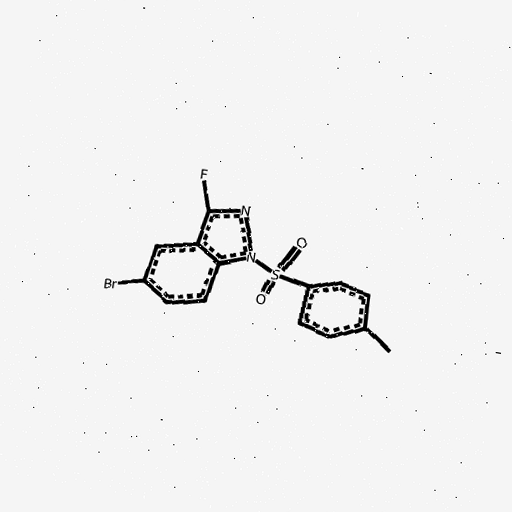 Cc1ccc(S(=O)(=O)n2nc(F)c3cc(Br)ccc32)cc1